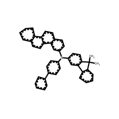 CC1(C)c2ccccc2-c2cc(N(c3ccc(-c4ccccc4)cc3)c3ccc4ccc5c6ccccc6ccc5c4c3)ccc21